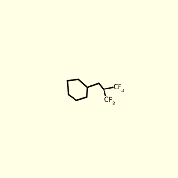 FC(F)(F)C(CC1CCCCC1)C(F)(F)F